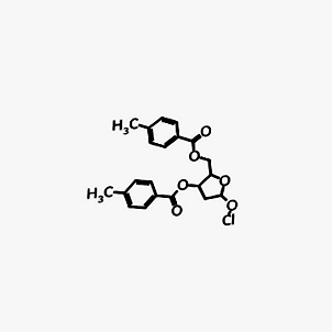 Cc1ccc(C(=O)OCC2OC(OCl)CC2OC(=O)c2ccc(C)cc2)cc1